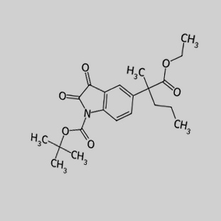 CCCC(C)(C(=O)OCC)c1ccc2c(c1)C(=O)C(=O)N2C(=O)OC(C)(C)C